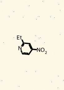 CCc1cc([N+](=O)[O-])ccn1